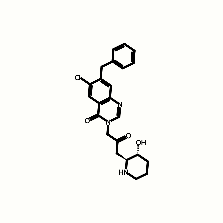 O=C(C[C@@H]1NCCC[C@H]1O)Cn1cnc2cc(Cc3ccccc3)c(Cl)cc2c1=O